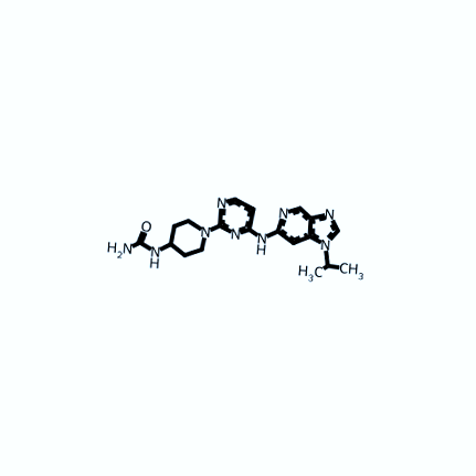 CC(C)n1cnc2cnc(Nc3ccnc(N4CCC(NC(N)=O)CC4)n3)cc21